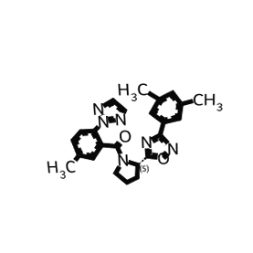 Cc1cc(C)cc(-c2noc([C@@H]3CCCN3C(=O)c3cc(C)ccc3-n3nccn3)n2)c1